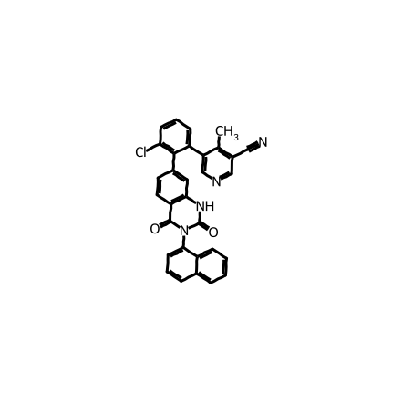 Cc1c(C#N)cncc1-c1cccc(Cl)c1-c1ccc2c(=O)n(-c3cccc4ccccc34)c(=O)[nH]c2c1